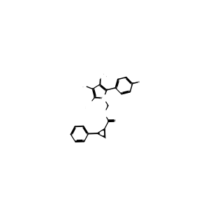 N#Cc1c(Br)c(C(F)(F)F)n(COC(=O)C2CC2c2ccccc2)c1-c1ccc(Cl)cc1